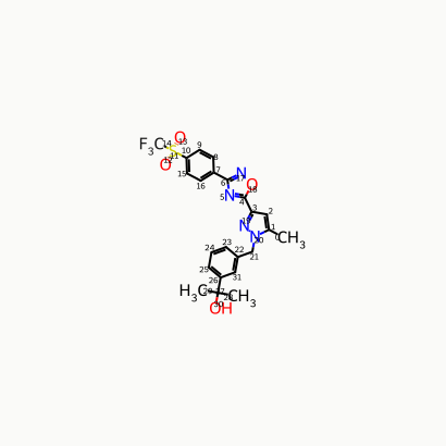 Cc1cc(-c2nc(-c3ccc(S(=O)(=O)C(F)(F)F)cc3)no2)nn1Cc1cccc(C(C)(C)O)c1